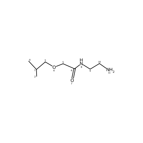 CC(C)COCC(=O)NCCN